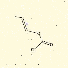 C/C=C/OC(=O)Cl